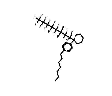 CCCCCCCc1ccc(C2(C(F)(F)C(F)(F)C(F)(F)C(F)(F)C(F)(F)C(F)(F)C(F)(F)C(F)(F)F)CCCCC2)cc1